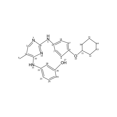 Cc1cnc(Nc2ccc(OC3CCCCC3)cc2)nc1Nc1cccc(O)c1